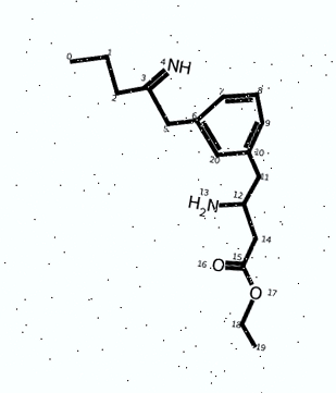 CCCC(=N)Cc1cccc(CC(N)CC(=O)OCC)c1